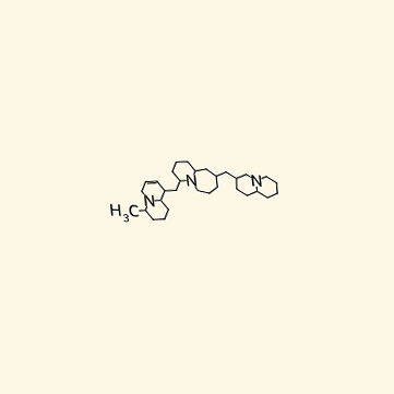 CC1CCCC2C(CC3CCCC4CC(CC5CCC6CCCCN6C5)CCCN43)C=CCN12